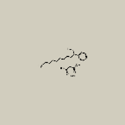 O=C(O)CC(=O)O.[KH].[Li][CH2]C(CCCCCCCCC)c1ccccc1